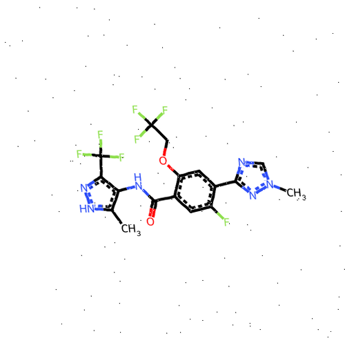 Cc1[nH]nc(C(F)(F)F)c1NC(=O)c1cc(F)c(-c2ncn(C)n2)cc1OCC(F)(F)F